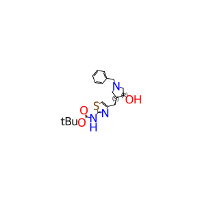 CC(C)(C)OC(=O)Nc1nc(C[C@H]2CN(Cc3ccccc3)C[C@@H]2O)cs1